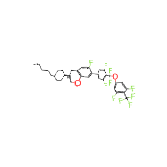 CCCCCC1CCC([C@@H]2COc3cc(-c4cc(F)c(C(F)(F)Oc5cc(F)c(C(F)(F)F)c(F)c5)c(F)c4)c(F)cc3C2)CC1